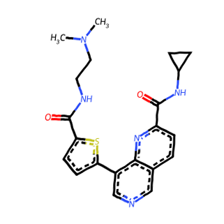 CN(C)CCNC(=O)c1ccc(-c2cncc3ccc(C(=O)NC4CC4)nc23)s1